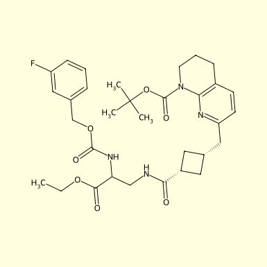 CCOC(=O)C(CNC(=O)[C@H]1C[C@@H](Cc2ccc3c(n2)N(C(=O)OC(C)(C)C)CCC3)C1)NC(=O)OCc1cccc(F)c1